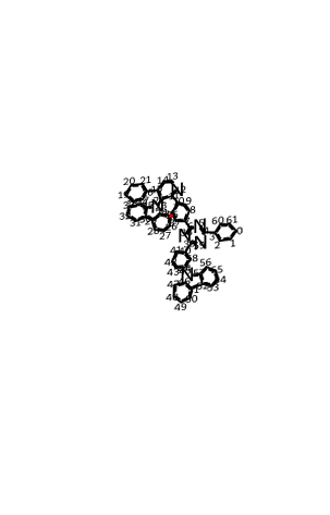 c1ccc(-c2nc(-c3ccc(-c4nccc(-c5ccccc5)c4-n4c5ccccc5c5ccccc54)cc3)nc(-c3cccc(-n4c5ccccc5c5ccccc54)c3)n2)cc1